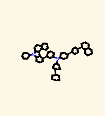 c1ccc(-c2ccc(N(c3ccc(-c4ccc(-c5cccc6ccccc56)cc4)cc3)c3cccc(-c4cccc5c4c4c6ccccc6ccc4n5-c4ccccc4)c3)cc2)cc1